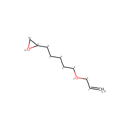 C=CCOCCCCCC1CO1